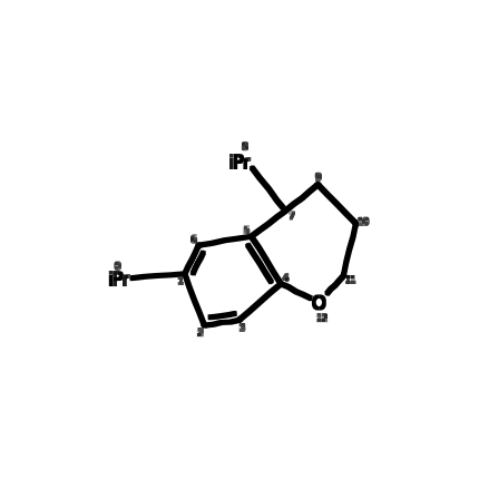 CC(C)c1ccc2c(c1)C(C(C)C)CCCO2